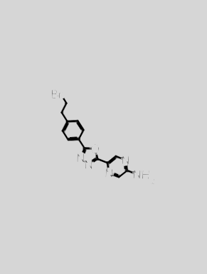 Nc1cnc(-c2nnc(-c3ccc(CCBr)cc3)o2)cn1